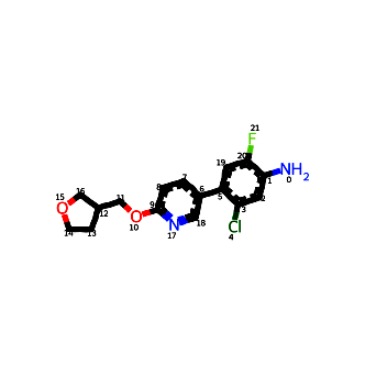 Nc1cc(Cl)c(-c2ccc(OCC3CCOC3)nc2)cc1F